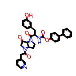 O=C(NC(Cc1cccc(O)c1)C(=O)N1CCC2C1C(=O)CN2C(=O)Cc1cccnc1)Oc1ccc(-c2ccccc2)cc1